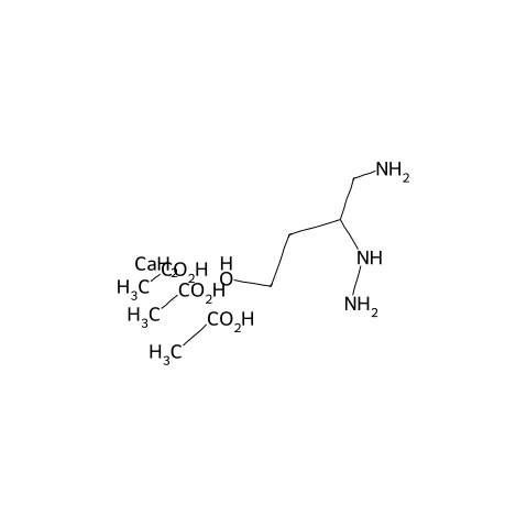 CC(=O)O.CC(=O)O.CC(=O)O.NCC(CCO)NN.[CaH2]